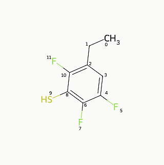 CCc1cc(F)c(F)c(S)c1F